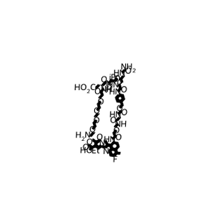 CC[C@@]1(O)C(=O)OCc2c1cc1n(c2=O)Cc2c-1nc1cc(F)c(C)c3c1c2[C@@H](NC(=O)COCNC(=O)CNC(=O)OCc1ccc(NC(=O)[C@H](CCCNC(N)=O)NC(=O)[C@@H](NC(=O)[C@@H](CCC(=O)O)NC(=O)CCOCCOCCOCCOCCN)C(C)C)cc1)CC3